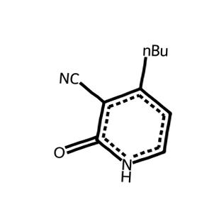 CCCCc1cc[nH]c(=O)c1C#N